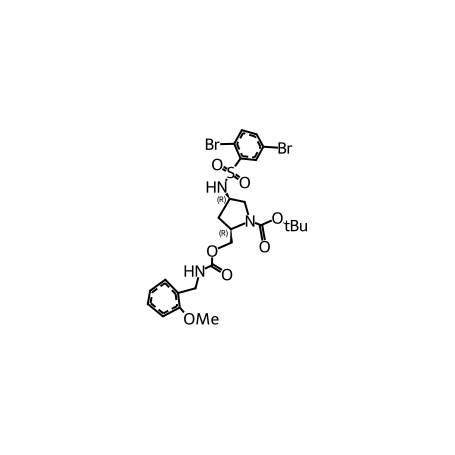 COc1ccccc1CNC(=O)OC[C@H]1C[C@@H](NS(=O)(=O)c2cc(Br)ccc2Br)CN1C(=O)OC(C)(C)C